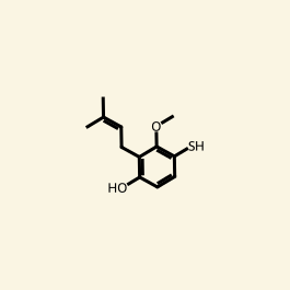 COc1c(S)ccc(O)c1CC=C(C)C